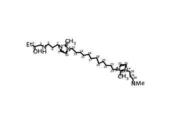 CCC(O)CNCCC[n+]1ccn(CCCCCCCCCCCCn2cc[n+](CCCNC)c2C)c1C